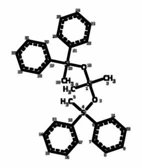 C[Si](C)(O[Si](C)(c1ccccc1)c1ccccc1)O[Si](C)(c1ccccc1)c1ccccc1